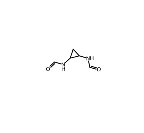 O=CNC1CC1NC=O